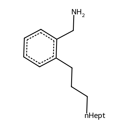 CCCCCCCCCCc1ccccc1CN